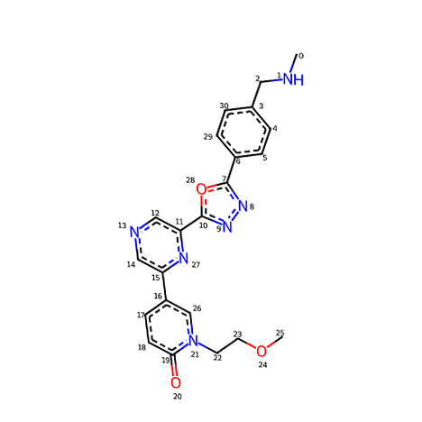 CNCc1ccc(-c2nnc(-c3cncc(-c4ccc(=O)n(CCOC)c4)n3)o2)cc1